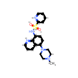 CN1CCN(c2ccc(NS(=O)(=O)c3ccccn3)c3ncccc23)CC1